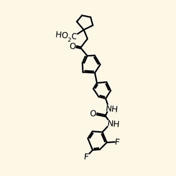 O=C(Nc1ccc(-c2ccc(C(=O)CC3(C(=O)O)CCCC3)cc2)cc1)Nc1ccc(F)cc1F